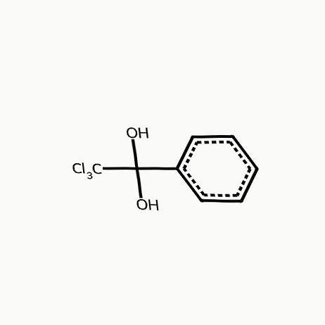 OC(O)(c1ccccc1)C(Cl)(Cl)Cl